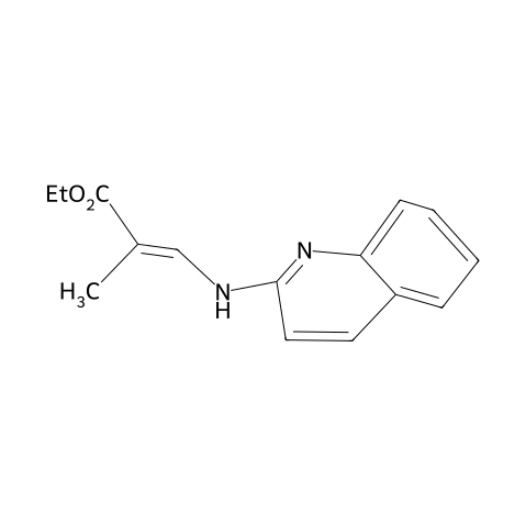 CCOC(=O)/C(C)=C/Nc1ccc2ccccc2n1